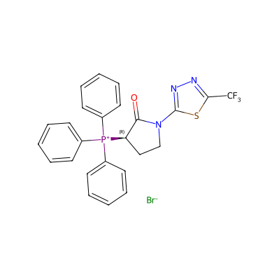 O=C1[C@H]([P+](c2ccccc2)(c2ccccc2)c2ccccc2)CCN1c1nnc(C(F)(F)F)s1.[Br-]